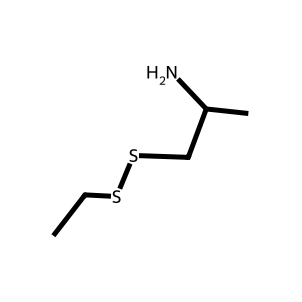 CCSSCC(C)N